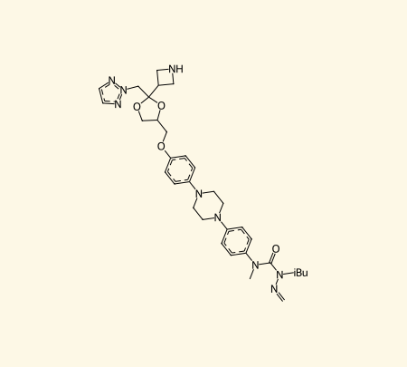 C=NN(C(=O)N(C)c1ccc(N2CCN(c3ccc(OCC4COC(Cn5nccn5)(C5CNC5)O4)cc3)CC2)cc1)C(C)CC